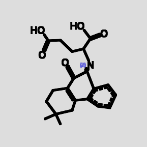 CC1(C)CCC2=C(C1)c1ccccc1/C(=N/C(CCC(=O)O)C(=O)O)C2=O